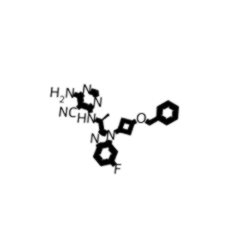 C[C@H](Nc1ncnc(N)c1C#N)c1nc2ccc(F)cc2n1C1CC(OCc2ccccc2)C1